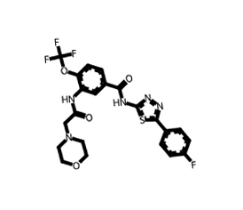 O=C(CN1CCOCC1)Nc1cc(C(=O)Nc2nnc(-c3ccc(F)cc3)s2)ccc1OC(F)(F)F